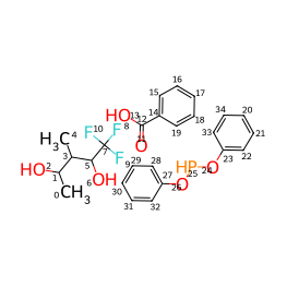 CC(O)C(C)C(O)C(F)(F)F.O=C(O)c1ccccc1.c1ccc(OPOc2ccccc2)cc1